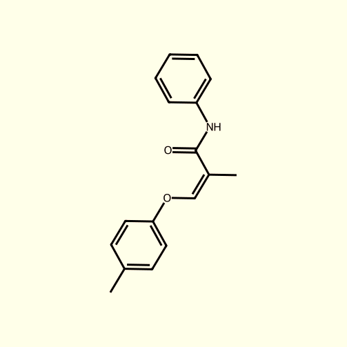 CC(=COc1ccc(C)cc1)C(=O)Nc1ccccc1